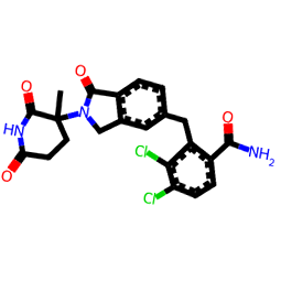 CC1(N2Cc3cc(Cc4c(C(N)=O)ccc(Cl)c4Cl)ccc3C2=O)CCC(=O)NC1=O